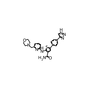 NC(=O)c1cc(-c2ccc(-c3c[nH]nn3)cc2)sc1Nc1cccc(CN2CCOCC2)n1